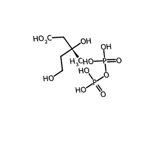 C[C@@](O)(CCO)CC(=O)O.O=P(O)(O)OP(=O)(O)O